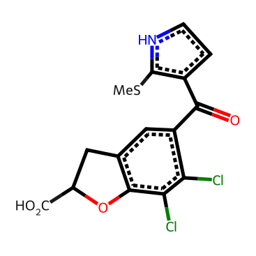 CSc1[nH]ccc1C(=O)c1cc2c(c(Cl)c1Cl)OC(C(=O)O)C2